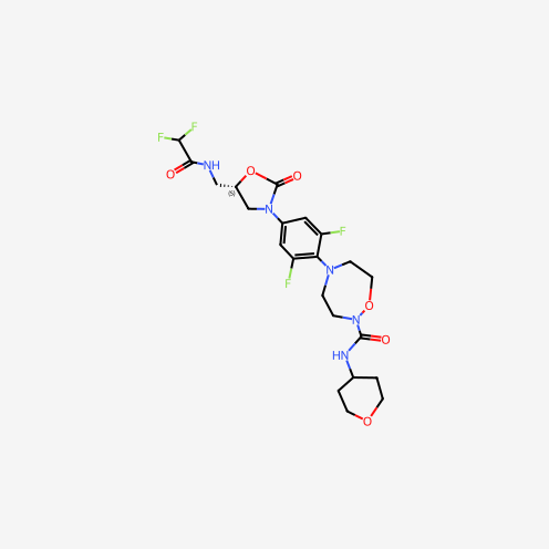 O=C(NC[C@H]1CN(c2cc(F)c(N3CCON(C(=O)NC4CCOCC4)CC3)c(F)c2)C(=O)O1)C(F)F